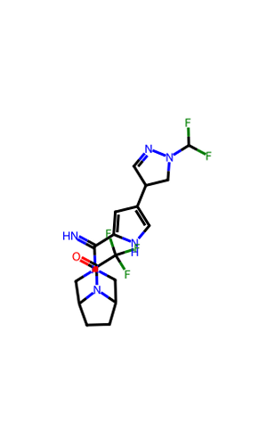 N=C(c1cc(C2C=NN(C(F)F)C2)c[nH]1)N1CC2CCC(C1)N2C(=O)C(F)(F)F